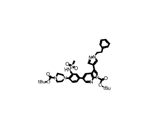 CC(C)(C)OC(=O)N1CCN(c2ccc(-c3cnc4c(c3)c(-c3cnn(CCc5ccccc5)c3)cn4C(=O)OC(C)(C)C)cc2NS(C)(=O)=O)CC1